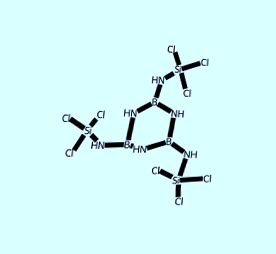 Cl[Si](Cl)(Cl)NB1NB(N[Si](Cl)(Cl)Cl)NB(N[Si](Cl)(Cl)Cl)N1